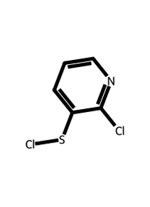 ClSc1cccnc1Cl